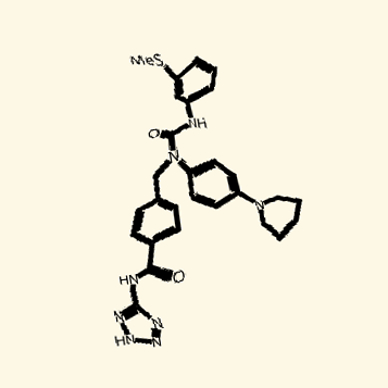 CSc1cccc(NC(=O)N(Cc2ccc(C(=O)Nc3nn[nH]n3)cc2)c2ccc(N3CCCCC3)cc2)c1